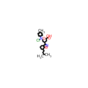 Cc1ccc(N(Cl)C(=O)CC(CCC(=O)O)c2noc3c2CCCC3CCC(C)C)cc1